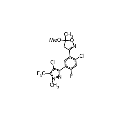 COC1(C)CC(c2cc(-c3nn(C)c(C(F)(F)F)c3Cl)c(F)cc2Cl)=NO1